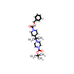 CC(C)(C)OC(=O)N1CCN(C(C)(C)C2CCN(C(=O)OCc3ccccc3)CC2)CC1